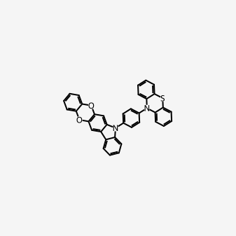 c1ccc2c(c1)Oc1cc3c4ccccc4n(-c4ccc(N5c6ccccc6Sc6ccccc65)cc4)c3cc1O2